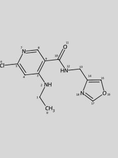 CCNc1cc(Cl)ncc1C(=O)NCc1cocn1